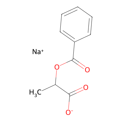 CC(OC(=O)c1ccccc1)C(=O)[O-].[Na+]